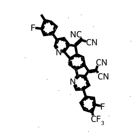 Cc1ccc(-c2cnc3c(c2)C(=C(C#N)C#N)c2cc4c(cc2-3)-c2ncc(-c3ccc(C(F)(F)F)c(F)c3)cc2C4=C(C#N)C#N)cc1F